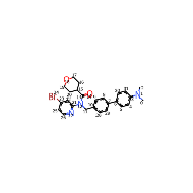 CN(C)c1ccc(-c2ccc(CN(C(=O)C3CCOCC3)c3cc(Br)ccn3)cc2)cc1